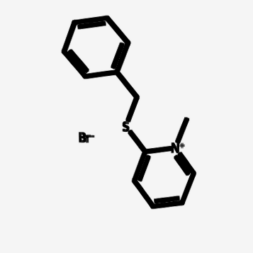 C[n+]1ccccc1SCc1ccccc1.[Br-]